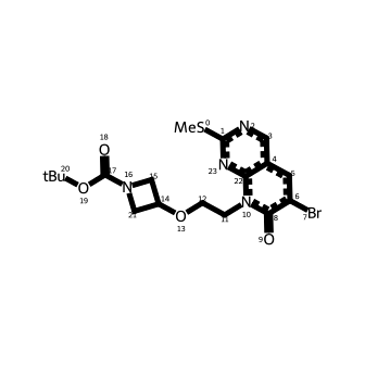 CSc1ncc2cc(Br)c(=O)n(CCOC3CN(C(=O)OC(C)(C)C)C3)c2n1